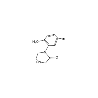 Cc1ccc(Br)cc1N1CCNCC1=O